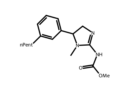 CCCCCc1cccc(C2CN=C(NC(=O)OC)N2C)c1